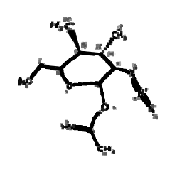 CC(=N)OC1OC(COC(C)=O)[C@@H](C)[C@H](C)C1N=[N+]=[N-]